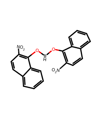 O=[N+]([O-])c1ccc2ccccc2c1OBOc1c([N+](=O)[O-])ccc2ccccc12